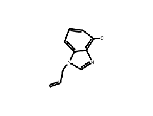 C=CCn1cnc2c(Cl)cccc21